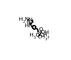 CC(C)(C)N(CCc1ccc(Nc2ccnc(N)n2)cc1)C(=O)O